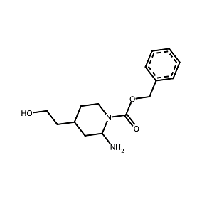 NC1CC(CCO)CCN1C(=O)OCc1ccccc1